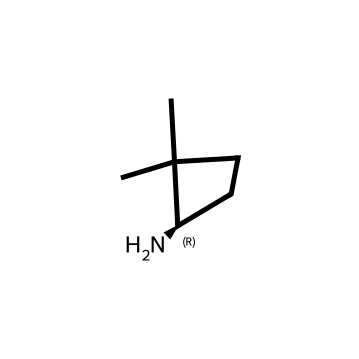 CC1(C)CC[C@H]1N